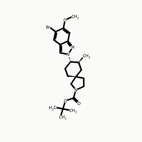 COc1cc2nn([C@H]3CC[C@]4(CCN(C(=O)OC(C)(C)C)C4)C[C@@H]3C)cc2cc1Br